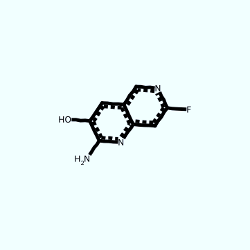 Nc1nc2cc(F)ncc2cc1O